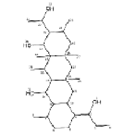 CCC(O)C1CCC(C)C2C(O)C3C(C)C4(C)C(O)C(C(C)O)C(C)CC4(C)CC3(C)CC12